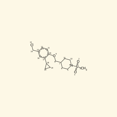 CS(=O)(=O)N1CCC(COc2ccc(CCl)cc2C2CC2)CC1